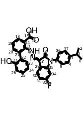 CC(C)c1ccc(N2C(=O)C(=NNc3c(C(=O)O)cccc3-c3ccccc3O)c3ccc(F)cc32)cc1